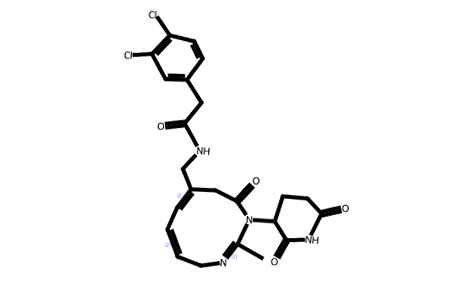 C/C1=N/C/C=C\C=C(\CNC(=O)Cc2ccc(Cl)c(Cl)c2)CC(=O)N1C1CCC(=O)NC1=O